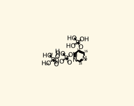 O=P(O)(O)O.O=P(O)(O)O.O=P(O)(O)O.c1cncnc1